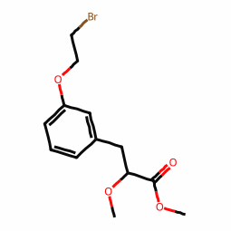 COC(=O)C(Cc1cccc(OCCBr)c1)OC